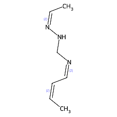 C/C=C\C=N/CN/N=C\C